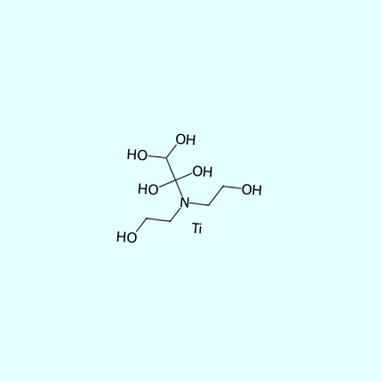 OCCN(CCO)C(O)(O)C(O)O.[Ti]